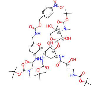 CN(CC(=O)N[C@@H]1CC=C(CNC(=O)OCc2ccc([N+](=O)[O-])cc2)O[C@@H]1C1[C@@H](NC(=O)OC(C)(C)C)C[C@@H](NC(=O)[C@@H](O)CCNC(=O)OC(C)(C)C)[C@H](O[C@H]2OC[C@](C)(O)[C@H](N(C)C(=O)OC(C)(C)C)[C@H]2O)[C@H]1O)C(=O)OC(C)(C)C